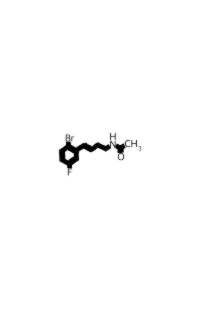 CC(=O)NCCC=Cc1cc(F)ccc1Br